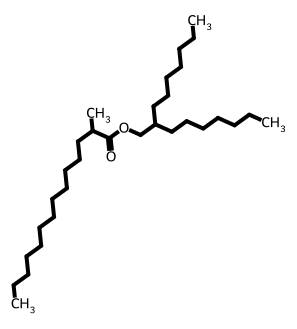 CCCCCCCCCCCCC(C)C(=O)OCC(CCCCCCC)CCCCCCC